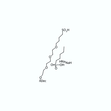 CCCCCCCCCCOCCOCCOCCOCCCCS(=O)(=O)O.CCCCCS(=O)(=O)O.[NaH].[NaH]